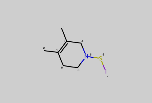 CC1=C(C)CN(SI)CC1